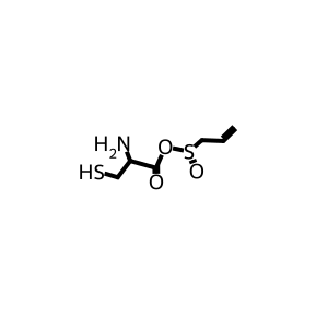 C=CCS(=O)OC(=O)C(N)CS